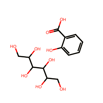 O=C(O)c1ccccc1O.OCC(O)C(O)C(O)C(O)CO